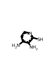 Nc1ccnc(S)c1N